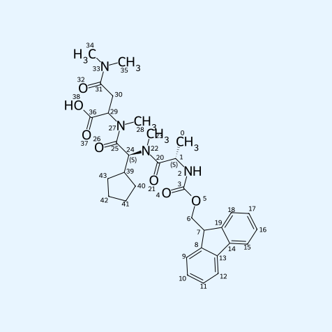 C[C@H](NC(=O)OCC1c2ccccc2-c2ccccc21)C(=O)N(C)[C@H](C(=O)N(C)C(CC(=O)N(C)C)C(=O)O)C1CCCC1